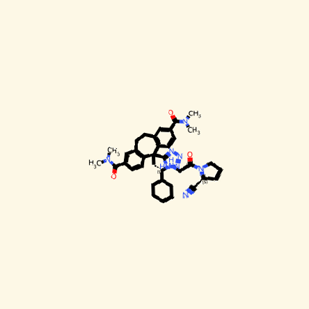 CN(C)C(=O)c1ccc2c(c1)CCc1cc(C(=O)N(C)C)ccc1C2(C[C@H](NCC(=O)N1CCC[C@H]1C#N)C1CCCCC1)c1nnn[nH]1